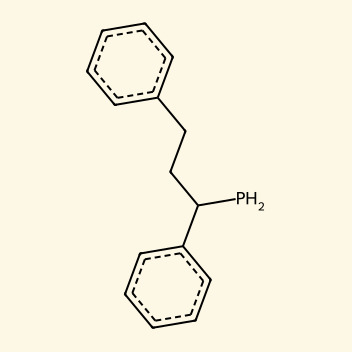 PC(CCc1ccccc1)c1ccccc1